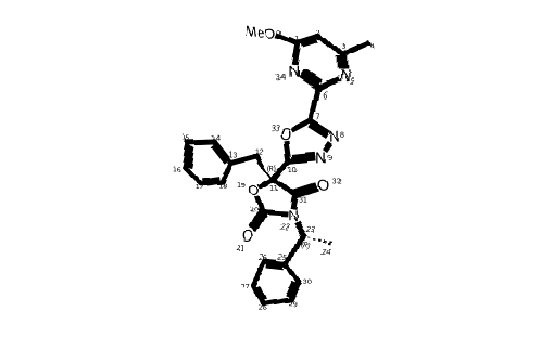 COc1cc(C)nc(-c2nnc([C@@]3(Cc4ccccc4)OC(=O)N([C@H](C)c4ccccc4)C3=O)o2)n1